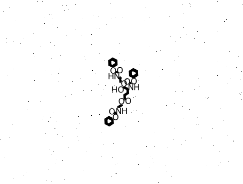 O=C(CCC(NC(=O)Oc1ccccc1)[C@H](O)OCCNC(=O)Oc1ccccc1)OCCNC(=O)Oc1ccccc1